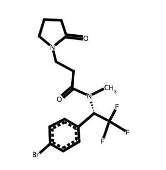 CN(C(=O)CCN1CCCC1=O)[C@@H](c1ccc(Br)cc1)C(F)(F)F